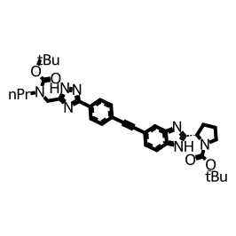 CCCN(Cc1nc(-c2ccc(C#Cc3ccc4[nH]c([C@@H]5CCCN5C(=O)OC(C)(C)C)nc4c3)cc2)n[nH]1)C(=O)OC(C)(C)C